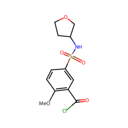 COc1ccc(S(=O)(=O)NC2CCOC2)cc1C(=O)Cl